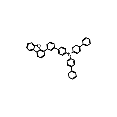 C1=CCCC(c2ccc(N(C3=CC=C(c4ccccc4)CC3)c3ccc(-c4cccc(-c5cccc6c5oc5ccccc56)c4)cc3)cc2)=C1